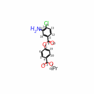 CC(C)OC(=O)c1ccc(OC(=O)c2ccc(Cl)c(N)c2)cc1